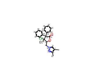 CCC1(Cl)C(Cn2cc(C)c(C)n2)OC(=O)C1(c1ccccc1)c1ccccc1